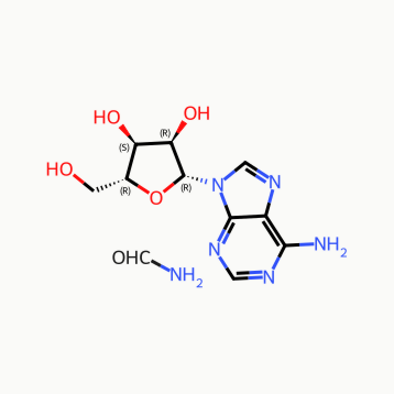 NC=O.Nc1ncnc2c1ncn2[C@@H]1O[C@H](CO)[C@@H](O)[C@H]1O